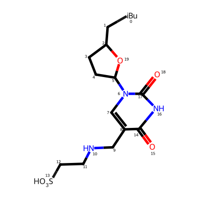 CCC(C)CC1CCC(n2cc(CNCCS(=O)(=O)O)c(=O)[nH]c2=O)O1